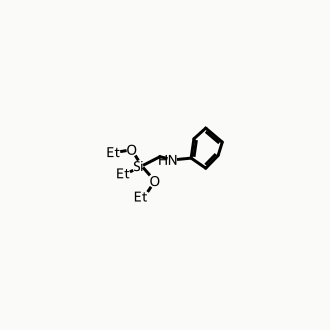 CCO[Si](CC)(CNc1ccccc1)OCC